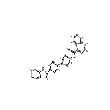 O=C(Nc1ccccc1)c1ccc(-c2ccc(NC(=O)c3cccc4ccccc34)cc2)nc1